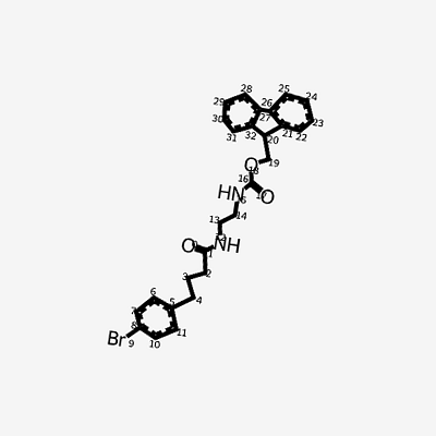 O=C(CCCc1ccc(Br)cc1)NCCNC(=O)OCC1c2ccccc2-c2ccccc21